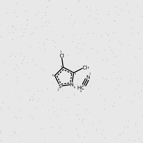 C#N.Clc1csnc1Cl